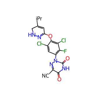 CC(C)C1=CC(Oc2c(Cl)cc(-n3nc(C#N)c(=O)[nH]c3=O)c(F)c2Cl)=NNC1